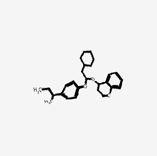 CCC(C)c1ccc(OC(CC2CCCCC2)OC2CCOc3ccccc32)cc1